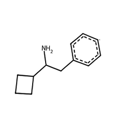 NC(Cc1cc[c]cc1)C1CCC1